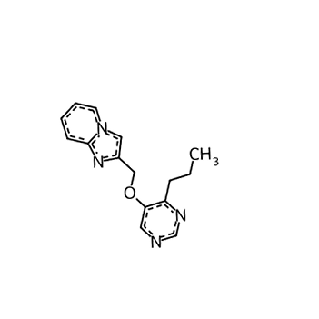 CCCc1ncncc1OCc1cn2ccccc2n1